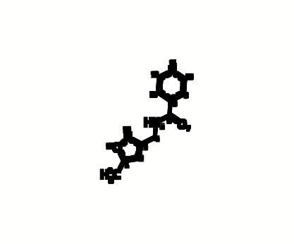 Cc1cc(CNC(=O)c2ccncc2)no1